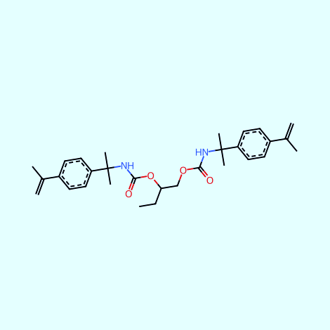 C=C(C)c1ccc(C(C)(C)NC(=O)OCC(CC)OC(=O)NC(C)(C)c2ccc(C(=C)C)cc2)cc1